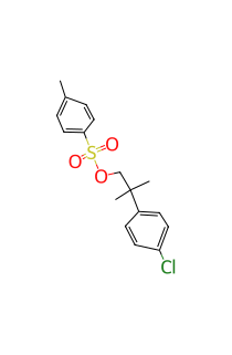 Cc1ccc(S(=O)(=O)OCC(C)(C)c2ccc(Cl)cc2)cc1